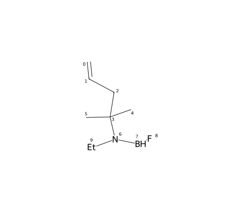 C=CCC(C)(C)N(BF)CC